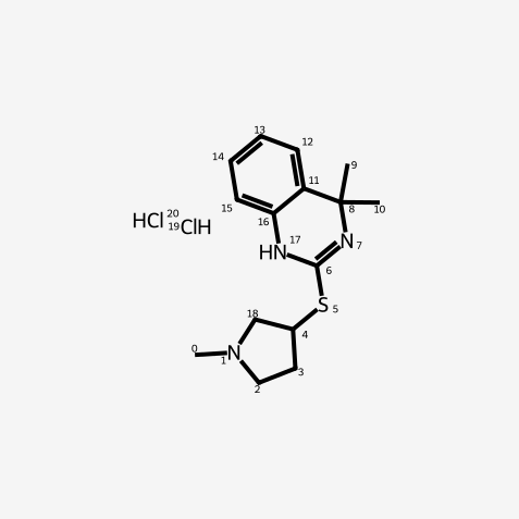 CN1CCC(SC2=NC(C)(C)c3ccccc3N2)C1.Cl.Cl